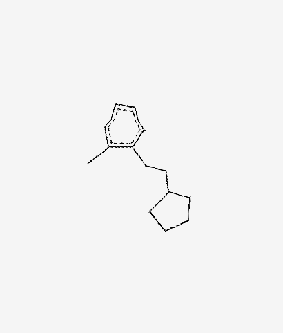 Cc1ccccc1CCC1CCCC1